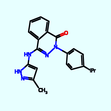 Cc1cc(Nc2nn(-c3ccc(C(C)C)cc3)c(=O)c3ccccc23)[nH]n1